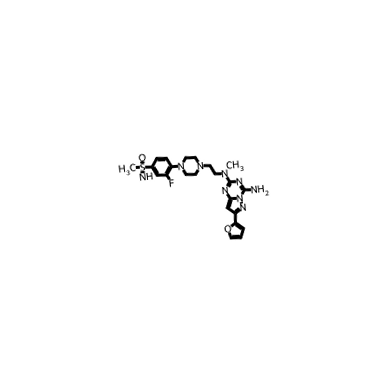 CN(CCN1CCN(c2ccc(S(C)(=N)=O)cc2F)CC1)c1nc(N)n2nc(-c3ccco3)cc2n1